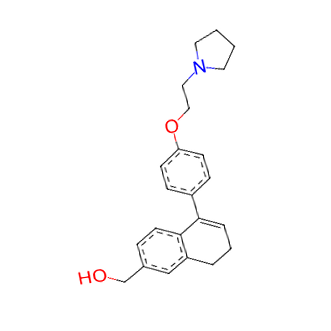 OCc1ccc2c(c1)CCC=C2c1ccc(OCCN2CCCC2)cc1